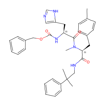 Cc1ccc(C[C@@H](C(=O)NCC(C)(C)c2ccccc2)N(C)C(=O)[C@H](Cc2cnc[nH]2)NC(=O)OCc2ccccc2)cc1